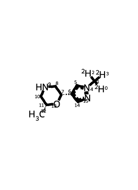 [2H]C([2H])([2H])n1cc([C@H]2CNC[C@@H](C)O2)cn1